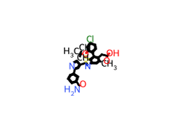 Cc1cc2nc(-c3ccnc(-c4cccc(C(N)=O)c4)c3)sc2c(-c2ccc(Cl)cc2OC(C)(C)C)c1CC(=O)O